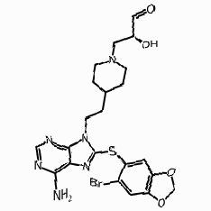 Nc1ncnc2c1nc(Sc1cc3c(cc1Br)OCO3)n2CCC1CCN(C[C@H](O)C=O)CC1